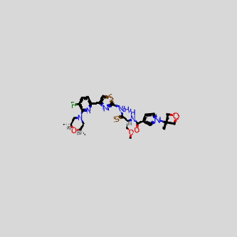 COC[C@H](NC(=O)c1ccn(C2(C)COC2)c1)C(=S)Nc1nc(-c2ccc(F)c(N3C[C@@H](C)O[C@@H](C)C3)n2)cs1